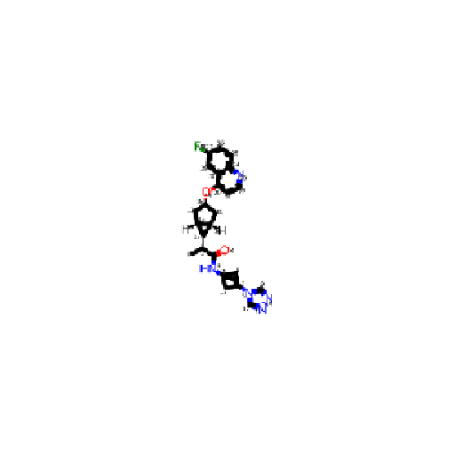 CC(C(=O)NC12CC(n3cnnc3)(C1)C2)[C@H]1[C@@H]2C[C@H](Oc3ccnc4ccc(F)cc34)C[C@@H]21